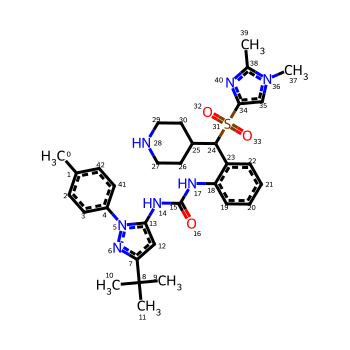 Cc1ccc(-n2nc(C(C)(C)C)cc2NC(=O)Nc2ccccc2C(C2CCNCC2)S(=O)(=O)c2cn(C)c(C)n2)cc1